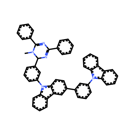 CN1C(c2ccccc2)=NC(c2ccccc2)=NC1c1cccc(-n2c3ccccc3c3cc(-c4cccc(-n5c6ccccc6c6ccccc65)c4)ccc32)c1